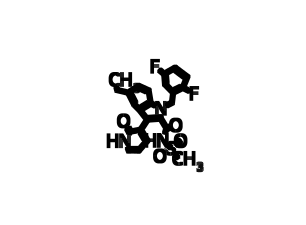 CCc1ccc2c(c1)c(-c1ccc[nH]c1=O)c(C(=O)NS(C)(=O)=O)n2Cc1cc(F)ccc1F